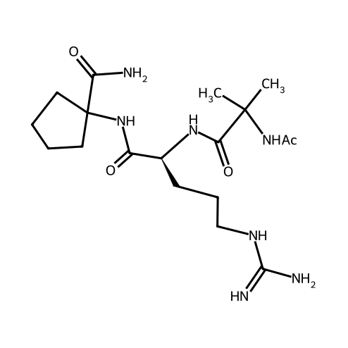 CC(=O)NC(C)(C)C(=O)N[C@@H](CCCNC(=N)N)C(=O)NC1(C(N)=O)CCCC1